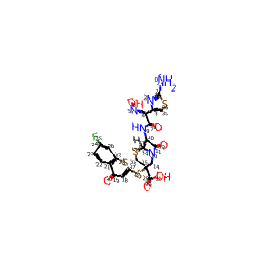 Nc1nc(C(=NO)C(=O)NC2C(=O)N3CC(Sc4cc(=O)c5ccc(F)cc5s4)(C(=O)O)CS[C@H]23)cs1